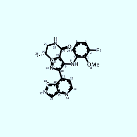 COc1c(F)cccc1Nc1c(-c2ccnc3cnsc23)nn2c1C(=O)NC[C@H]2C